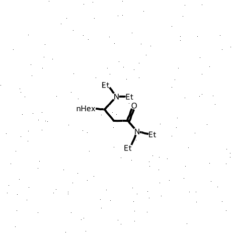 CCCCCCC(CC(=O)N(CC)CC)N(CC)CC